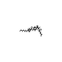 CCCCCCCc1ccc(C(=O)Oc2ccc(C(=O)C(C)OC(=O)CCCCC)cc2)cc1